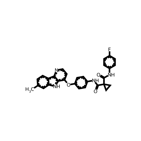 Cc1ccc2c(c1)[nH]c1c(Oc3ccc(NC(=O)C4(C(=O)Nc5ccc(F)cc5)CC4)cc3)ccnc12